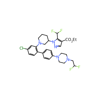 CCOC(=O)c1cnn(C2CCCN(c3cc(Cl)ccc3-c3ccc(N4CCN(CC(F)F)CC4)cc3)C2)c1C(F)F